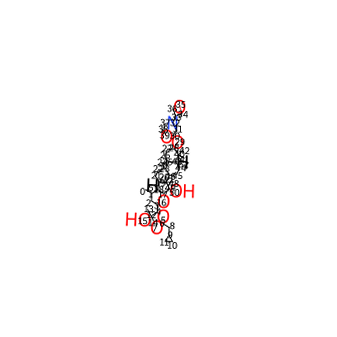 C[C@@H]1CC(C(OC(=O)CC2CC2)C(C)(C)O)OC2[C@H]1C1(C)CCC34CC35CCC(O[C@H]3CN(C6COC6)CCO3)C(C)(C)[C@@H]5CCC4[C@]1(C)[C@H]2O